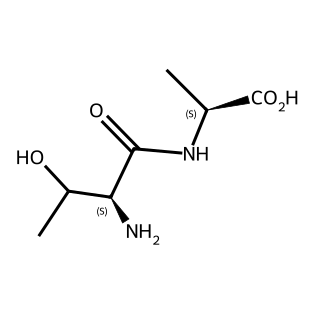 CC(O)[C@H](N)C(=O)N[C@@H](C)C(=O)O